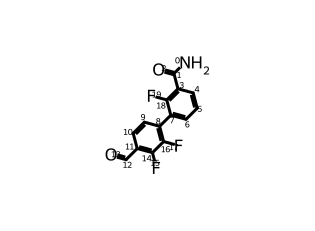 NC(=O)c1cccc(-c2ccc(C=O)c(F)c2F)c1F